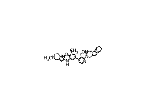 CN1CCn2nc(Nc3cc(-c4ccnc(N5CCn6c(cc7c6C6CCC7C6)C5)c4CO)cn(C)c3=O)cc2C1